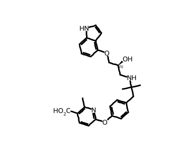 Cc1nc(Oc2ccc(CC(C)(C)NC[C@H](O)COc3cccc4[nH]ccc34)cc2)ccc1C(=O)O